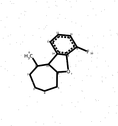 CC1CCCCC2Oc3c(F)cccc3C12